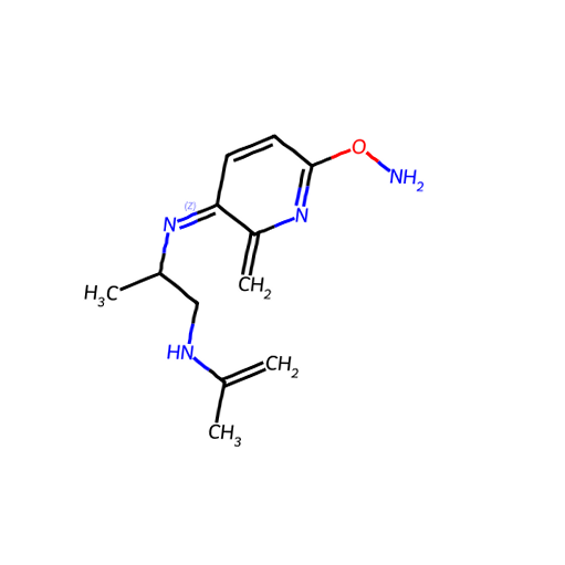 C=C(C)NCC(C)/N=C1/C=CC(ON)=NC1=C